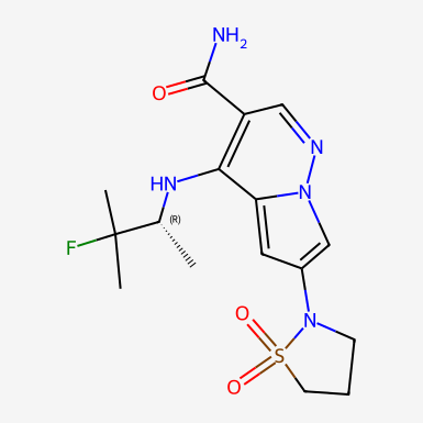 C[C@@H](Nc1c(C(N)=O)cnn2cc(N3CCCS3(=O)=O)cc12)C(C)(C)F